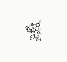 CCOC(=O)C1=C(CN2CCOCC2C(=O)O)NC(c2ncoc2C)=NC1c1ccc(F)cc1Br